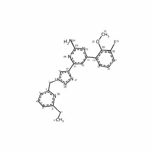 CCc1cccc(Cn2cc(-c3cc(-c4cccc(F)c4OC)nc(N)n3)nn2)n1